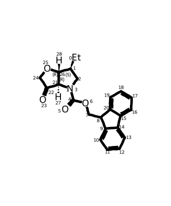 CC[C@H]1CN(C(=O)OCC2c3ccccc3-c3ccccc32)[C@H]2C(=O)CO[C@H]12